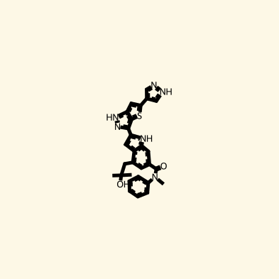 CN(C(=O)c1cc(CC(C)(C)O)c2cc(-c3n[nH]c4cc(-c5cn[nH]c5)sc34)[nH]c2c1)c1ccccc1